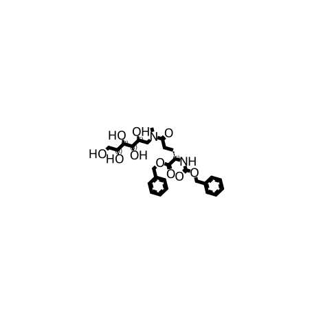 CN(C[C@H](O)[C@@H](O)[C@H](O)[C@H](O)CO)C(=O)CC[C@H](NC(=O)OCc1ccccc1)C(=O)OCc1ccccc1